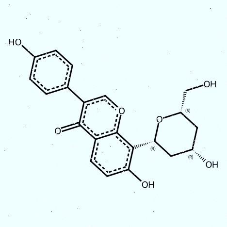 O=c1c(-c2ccc(O)cc2)coc2c([C@H]3C[C@@H](O)C[C@@H](CO)O3)c(O)ccc12